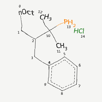 CCCCCCCCCC(Cc1ccccc1)C(C)(C)P.Cl